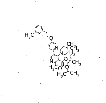 Cc1cccc(CCOc2ccc(-c3cnc(C)c(C(OC(C)(C)C)C(=O)OC(C)C)c3N3CCC(C)(C)CC3)nc2)c1